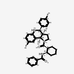 O=C(N[C@@H]1CCCC[C@@H]1C(=O)N1CC[C@@H]2[C@H](c3ccc(F)cc3)Nc3ccc(F)cc3[C@@H]21)c1ccccc1